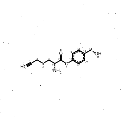 C#CCSCC(N)C(=O)Oc1ccc(CO)cc1